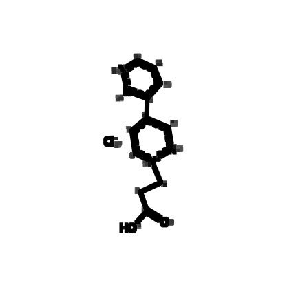 O=C(O)CC[n+]1ccc(-c2cccnn2)cn1.[Cl-]